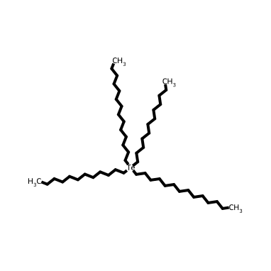 CCCCCCCCCCCCCC[Te](CCCCCCCCCCCC)(CCCCCCCCCCCC)CCCCCCCCCCCCCC